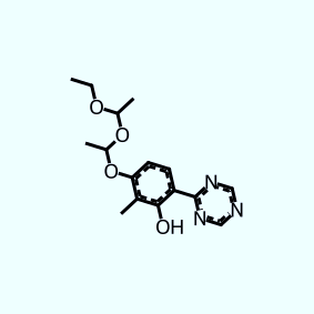 CCOC(C)OC(C)Oc1ccc(-c2ncncn2)c(O)c1C